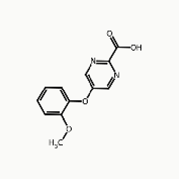 COc1ccccc1Oc1cnc(C(=O)O)nc1